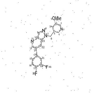 COc1cncc(Cn2ncc3ncc(-c4ccc(F)c(F)c4)cc32)c1